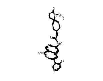 CN1C(=O)CCC12CCC(=CC(=O)Nc1cc3cc(-c4cnccc4Cl)nc(N)c3cn1)CC2